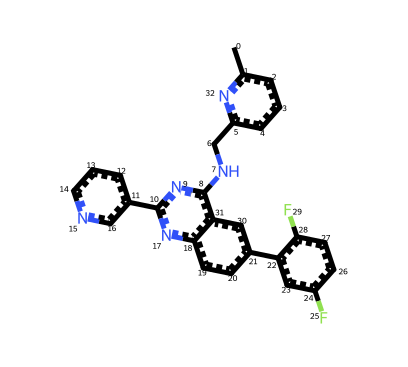 Cc1cccc(CNc2nc(-c3cccnc3)nc3ccc(-c4cc(F)ccc4F)cc23)n1